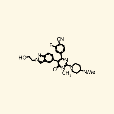 CNC1CCN(c2nc(-c3ccc(C#N)c(F)c3)c(-c3ccc4nn(CCO)cc4c3)c(=O)n2C)CC1